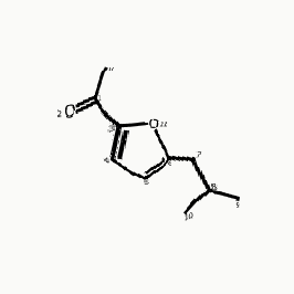 CC(=O)c1ccc(CC(C)C)o1